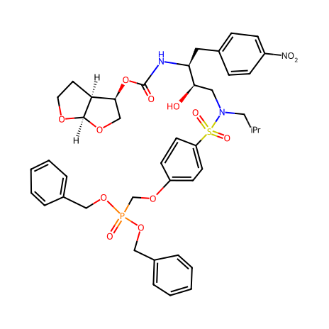 CC(C)CN(C[C@@H](O)[C@H](Cc1ccc([N+](=O)[O-])cc1)NC(=O)O[C@H]1CO[C@H]2OCC[C@H]21)S(=O)(=O)c1ccc(OCP(=O)(OCc2ccccc2)OCc2ccccc2)cc1